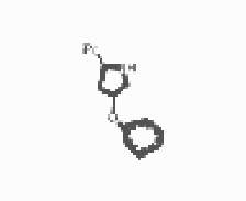 CC(C)[C@@H]1C[C@H](Oc2ccccc2)CN1